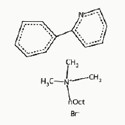 CCCCCCCC[N+](C)(C)C.[Br-].c1ccc(-c2ccccn2)cc1